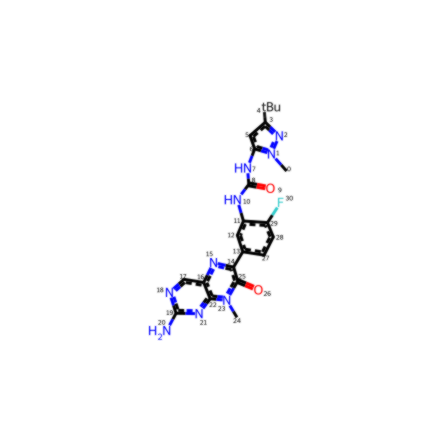 Cn1nc(C(C)(C)C)cc1NC(=O)Nc1cc(-c2nc3cnc(N)nc3n(C)c2=O)ccc1F